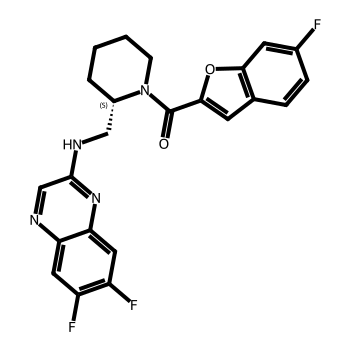 O=C(c1cc2ccc(F)cc2o1)N1CCCC[C@H]1CNc1cnc2cc(F)c(F)cc2n1